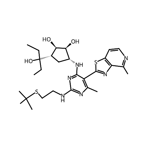 CCC(O)(CC)[C@H]1C[C@@H](Nc2nc(NCCSC(C)(C)C)nc(C)c2-c2nc3c(C)nccc3s2)[C@H](O)[C@@H]1O